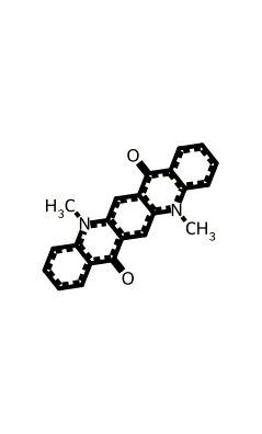 Cn1c2ccccc2c(=O)c2cc3c(cc21)c(=O)c1ccccc1n3C